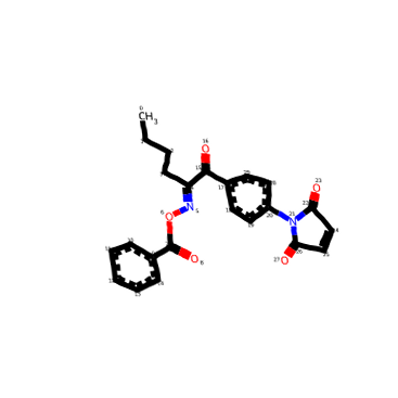 CCCC/C(=N\OC(=O)c1ccccc1)C(=O)c1ccc(N2C(=O)C=CC2=O)cc1